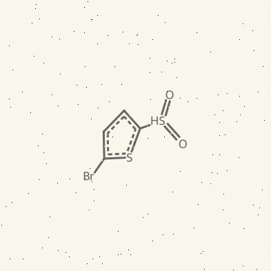 O=[SH](=O)c1ccc(Br)s1